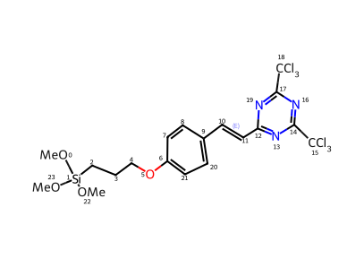 CO[Si](CCCOc1ccc(/C=C/c2nc(C(Cl)(Cl)Cl)nc(C(Cl)(Cl)Cl)n2)cc1)(OC)OC